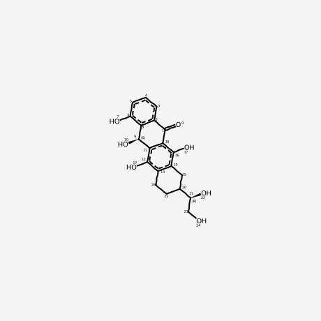 O=C1c2cccc(O)c2[C@H](O)c2c(O)c3c(c(O)c21)CC([C@@H](O)CO)CC3